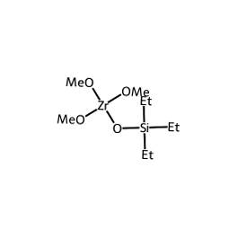 CC[Si](CC)(CC)[O][Zr]([O]C)([O]C)[O]C